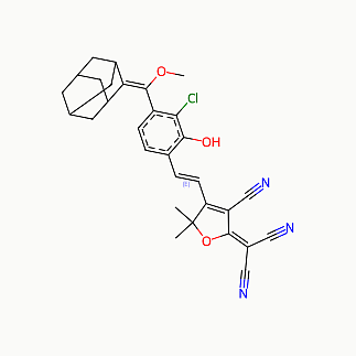 COC(=C1C2CC3CC(C2)CC1C3)c1ccc(/C=C/C2=C(C#N)C(=C(C#N)C#N)OC2(C)C)c(O)c1Cl